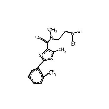 CCN(CC)CCN(C)C(=O)c1sc(-c2ccccc2C(F)(F)F)nc1C